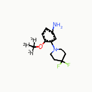 [2H]C([2H])([2H])Oc1ccc(N)cc1N1CCC(F)(F)CC1